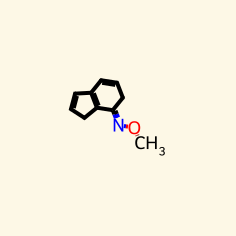 CON=C1CC=CC2=C1CC=C2